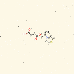 CC(COC(=O)/C=C/C(=O)O)N1CCSCC1